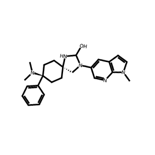 Cn1ccc2cc(N3C[C@]4(CC[C@](c5ccccc5)(N(C)C)CC4)NC3O)cnc21